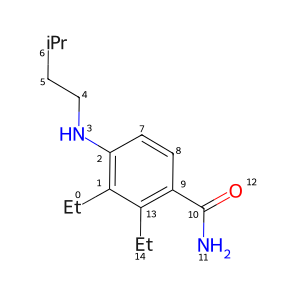 CCc1c(NCCC(C)C)ccc(C(N)=O)c1CC